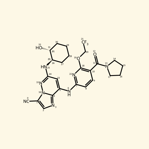 N#Cc1cnc2c(Nc3ccc(C(=O)N4CCCC4)c(OCC(F)(F)F)n3)cc(N[C@@H]3CCCC[C@H]3O)nn12